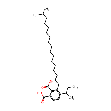 CCC(C)c1ccc(C(=O)O)c(C(=O)O)c1CCCCCCCCCCCCCCCC(C)C